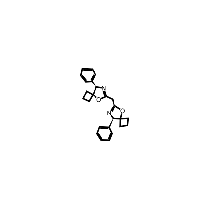 c1ccc([C@H]2N=C(CC3=N[C@H](c4ccccc4)C4(CCC4)O3)OC23CCC3)cc1